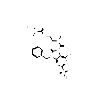 CCCN(C)C(=O)OCCN(C)C(=O)n1c(=O)n(Cc2ccccc2)c2nc(S(=N)(=O)CCC)nc(N)c21